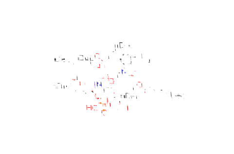 CCCCCCCCCCCCCC(=O)O[C@H](CCCCCCCCCCC)CC(=O)NC1[C@H](OCCN(C(=O)C[C@@H](CCCCCCCCCCC)OC(=O)CCCCCCCCCCCCC)c2cccc(C)c2)OC(CO)[C@@H](OP(=O)(O)O)[C@@H]1OC(=O)C[C@@H](CCCCCCCCCCC)OC(=O)CCCCCCCCCCCCC